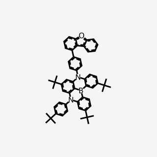 CC(C)(C)c1ccc(N2c3cc(C(C)(C)C)ccc3B3c4cc(C(C)(C)C)ccc4N(c4ccc(-c5cccc6oc7ccccc7c56)cc4)c4cc(C(C)(C)C)cc2c43)cc1